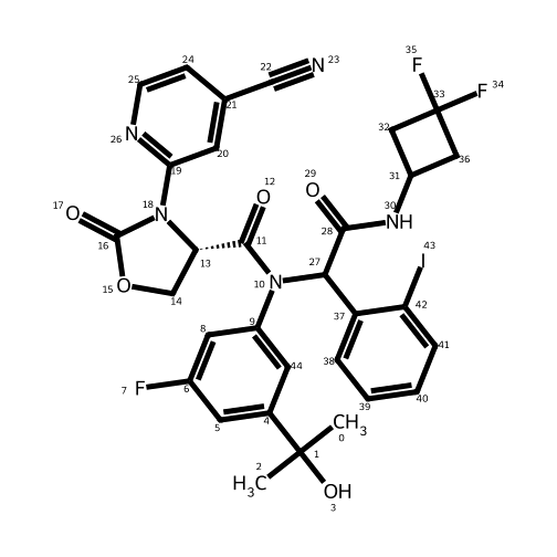 CC(C)(O)c1cc(F)cc(N(C(=O)[C@@H]2COC(=O)N2c2cc(C#N)ccn2)C(C(=O)NC2CC(F)(F)C2)c2ccccc2I)c1